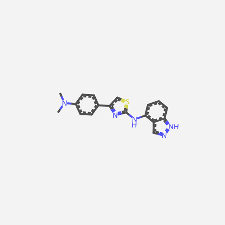 CN(C)c1ccc(-c2csc(Nc3cccc4[nH]ncc34)n2)cc1